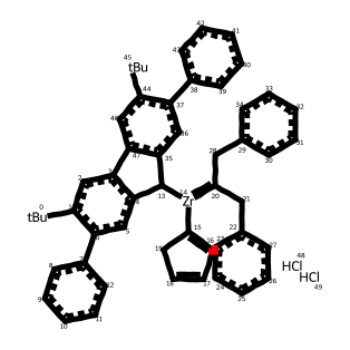 CC(C)(C)c1cc2c(cc1-c1ccccc1)[CH]([Zr]([C]1=CC=CC1)=[C](Cc1ccccc1)Cc1ccccc1)c1cc(-c3ccccc3)c(C(C)(C)C)cc1-2.Cl.Cl